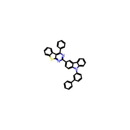 c1ccc(-c2cccc(-n3c4ccccc4c4cc(-c5nc(-c6ccccc6)c6c(n5)sc5ccccc56)ccc43)c2)cc1